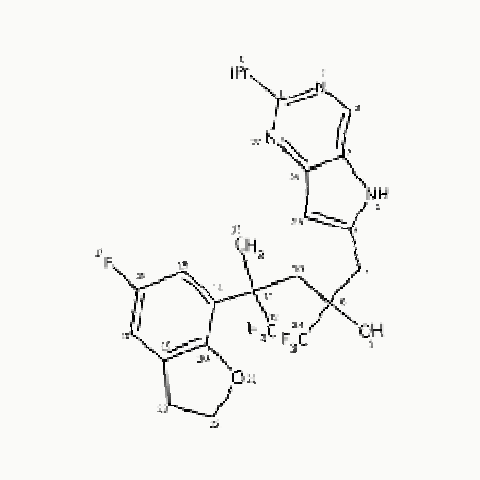 CC(C)c1ncc2[nH]c(CC(O)(CC(C)(C)c3cc(F)cc4c3OCC4)C(F)(F)F)cc2n1